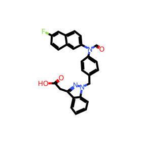 O=CN(c1ccc(Cn2nc(CC(=O)O)c3ccccc32)cc1)c1ccc2cc(F)ccc2c1